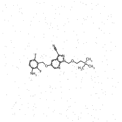 C[Si](C)(C)CCOCn1nc(C#N)c2cc(OCc3c(F)ccc(N)c3F)cnc21